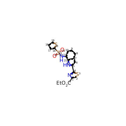 CCOC(=O)c1csc(-c2cc3cccc(NS(=O)(=O)c4cccs4)c3[nH]2)n1